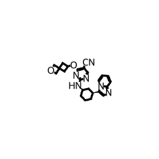 N#Cc1cnc(N[C@@H]2CCC[C@H](c3cnc4ccccn34)C2)nc1OC1CC2(COC2)C1